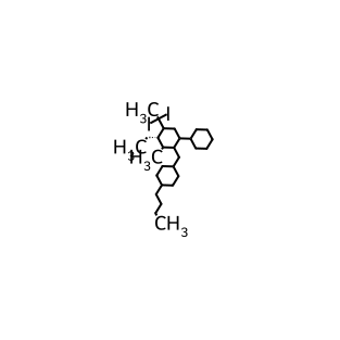 CCCCC1CCC(CC2C(C3CCCCC3)CC(C(C)(I)I)[C@@H](CC)C2C)CC1